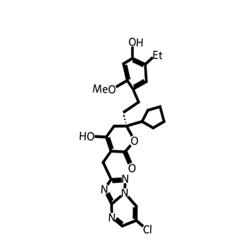 CCc1cc(CC[C@@]2(C3CCCC3)CC(O)=C(Cc3nc4ncc(Cl)cn4n3)C(=O)O2)c(OC)cc1O